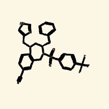 N#Cc1ccc2c(c1)CN(S(=O)(=O)c1ccc(C(F)(F)F)cc1)[C@H](Cc1ccccc1)CN2Cc1c[nH]cn1